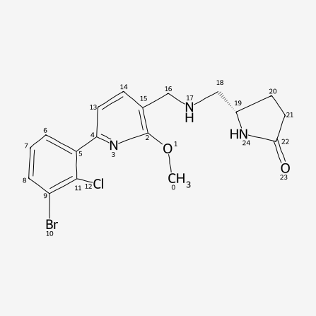 COc1nc(-c2cccc(Br)c2Cl)ccc1CNC[C@@H]1CCC(=O)N1